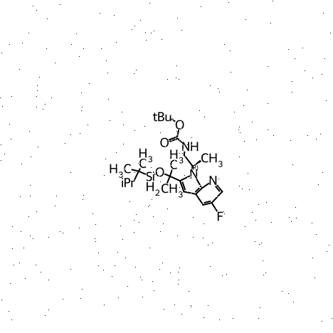 CC(C)C(C)(C)[SiH2]OC(C)(C)c1cc2cc(F)cnc2n1[C@H](C)CNC(=O)OC(C)(C)C